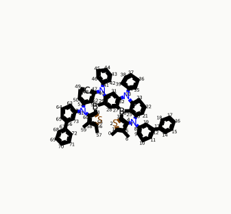 Cc1sc2c(c1C)N(c1cccc(-c3ccccc3)c1)c1cccc3c1B2c1cc2c(cc1N3c1ccccc1)N(c1ccccc1)c1cccc3c1B2c1sc(C)c(C)c1N3c1cccc(-c2ccccc2)c1